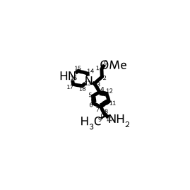 COCCC(c1ccc([C@H](C)N)cc1)N1CCNCC1